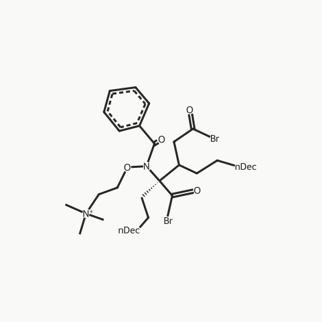 CCCCCCCCCCCCC(CC(=O)Br)[C@@](CCCCCCCCCCCC)(C(=O)Br)N(OCC[N+](C)(C)C)C(=O)c1ccccc1